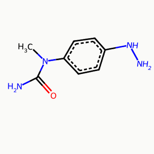 CN(C(N)=O)c1ccc(NN)cc1